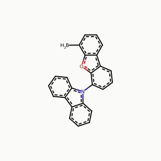 Bc1cccc2c1oc1c(-n3c4ccccc4c4ccccc43)cccc12